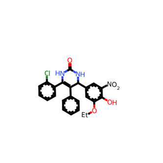 CCOc1cc(C2NC(=O)NC(c3ccccc3Cl)=C2c2ccccc2)cc([N+](=O)[O-])c1O